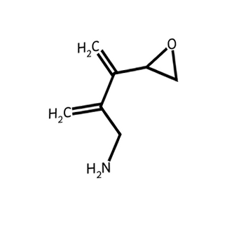 C=C(CN)C(=C)C1CO1